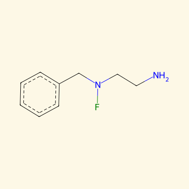 NCCN(F)Cc1ccccc1